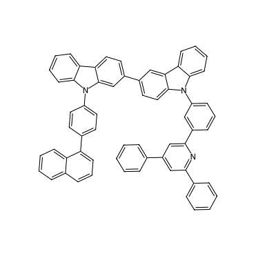 c1ccc(-c2cc(-c3ccccc3)nc(-c3cccc(-n4c5ccccc5c5cc(-c6ccc7c8ccccc8n(-c8ccc(-c9cccc%10ccccc9%10)cc8)c7c6)ccc54)c3)c2)cc1